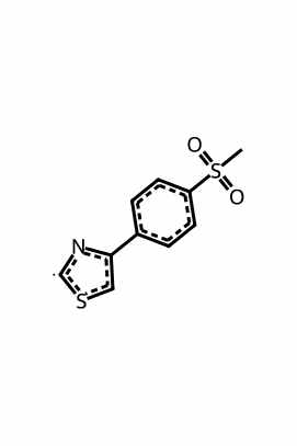 CS(=O)(=O)c1ccc(-c2cs[c]n2)cc1